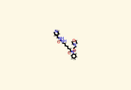 O=C(NCCCCCCC(=O)N(OCCN1CCOCC1)C1CCCCC1)NCc1ccncc1